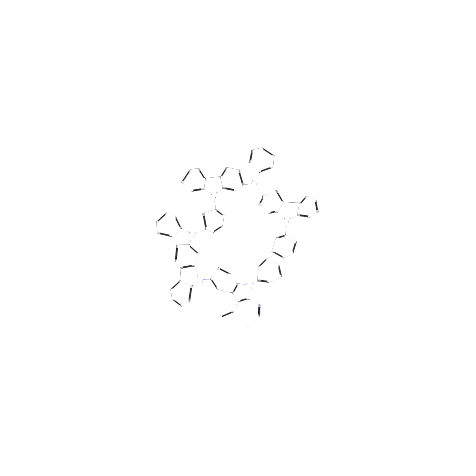 C=Cc1c(/C=C\C)n(-c2ccccc2)c2ccc(-n3c4ccccc4c4cc5c6ccccc6n(-c6cccc(-n7c8ccccc8c8cc9c%10ccccc%10n(-c%10ccc%11c(c%10)c%10ccccc%10n%11-c%10ccccc%10)c9cc87)c6)c5cc43)cc12